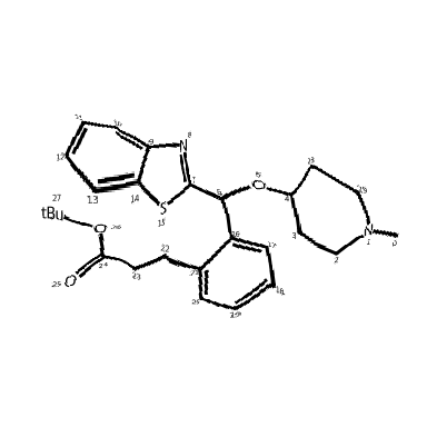 CN1CCC(OC(c2nc3ccccc3s2)c2ccccc2CCC(=O)OC(C)(C)C)CC1